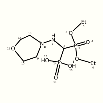 CCOP(=O)(OCC)C(NN1CCOCC1)P(=O)(O)O